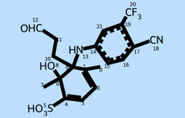 CC1=CC=C(S(=O)(=O)O)C(C)(O)C1(CCC=O)Nc1ccc(C#N)c(C(F)(F)F)c1